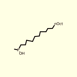 CCCCCCCCCCCCCCCCCCP(C)O